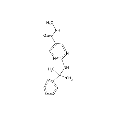 CNC(=O)c1cnc(NC(C)(C)c2ccccc2)nc1